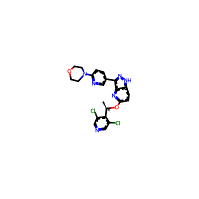 C[C@@H](Oc1ccc2[nH]nc(-c3ccc(N4CCOCC4)nc3)c2n1)c1c(Cl)cncc1Cl